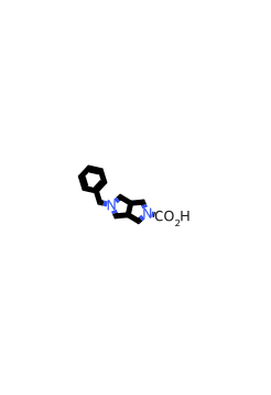 O=C(O)N1CC2CN(Cc3ccccc3)CC2C1